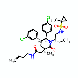 C=CCCNC(=O)C[C@@]1(C)C[C@H](c2cccc(Cl)c2)[C@@H](c2ccc(Cl)cc2)N([C@@H](CC)CNS(=O)(=O)C2(C)CC2)C1=O